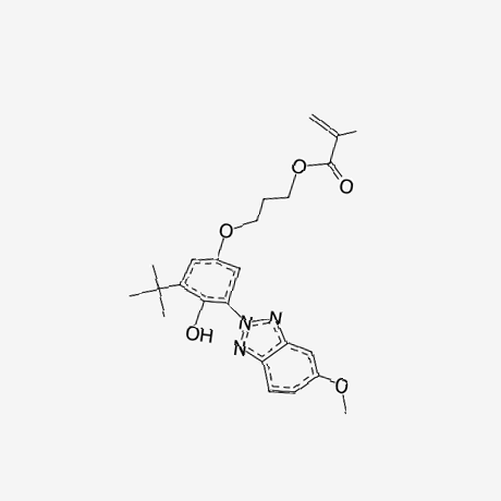 C=C(C)C(=O)OCCCOc1cc(-n2nc3ccc(OC)cc3n2)c(O)c(C(C)(C)C)c1